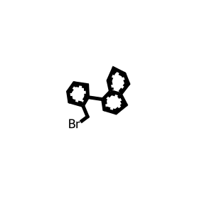 BrCc1ccccc1-c1cccc2ccccc12